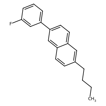 CCCCc1ccc2cc(-c3cccc(F)c3)ccc2c1